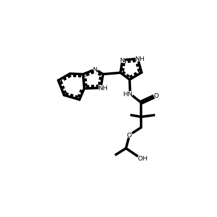 CC(O)OCC(C)(C)C(=O)Nc1c[nH]nc1-c1nc2ccccc2[nH]1